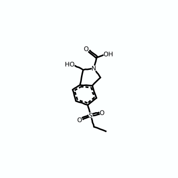 CCS(=O)(=O)c1ccc2c(c1)CN(C(=O)O)C2O